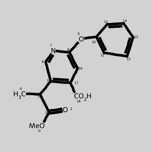 COC(=O)C(C)c1cnc(Oc2ccccc2)cc1C(=O)O